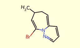 CC1C=C(Br)N2N=CC=CC2=CC1